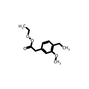 CCOOC(=O)Cc1ccc(CC)c(OC)c1